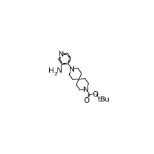 CC(C)(C)OC(=O)N1CCC2(CC1)CCN(c1ccncc1N)CC2